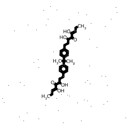 CCC=C(O)C(=O)C(O)CCc1ccc(C(C)(C)c2ccc(CCC(O)C(=O)C(O)=CCC)cc2)cc1